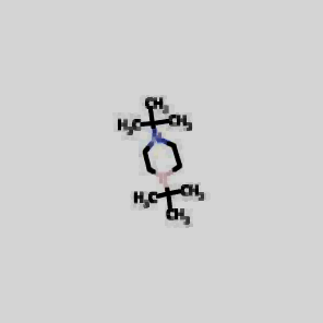 CC(C)(C)B1CCN(C(C)(C)C)CC1